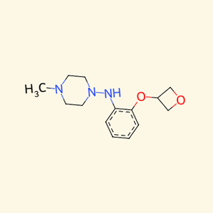 CN1CCN(Nc2ccccc2OC2COC2)CC1